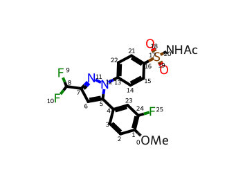 COc1ccc(-c2cc(C(F)F)nn2-c2ccc(S(=O)(=O)NC(C)=O)cc2)cc1F